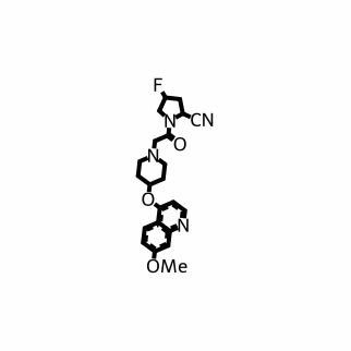 COc1ccc2c(OC3CCN(CC(=O)N4CC(F)CC4C#N)CC3)ccnc2c1